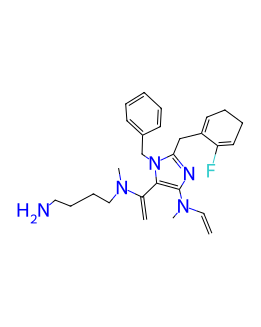 C=CN(C)c1nc(CC2=CCCC=C2F)n(Cc2ccccc2)c1C(=C)N(C)CCCCN